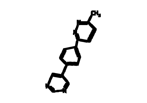 Cc1ccc(-c2ccc(-c3cncnc3)cc2)nn1